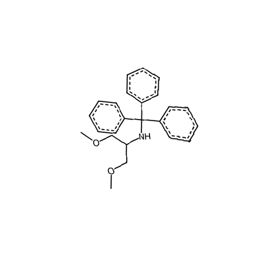 COCC(COC)NC(c1ccccc1)(c1ccccc1)c1ccccc1